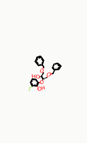 Oc1c(F)cccc1O[C@H](COCc1ccccc1)[C@@H](O)COCc1ccccc1